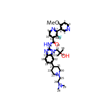 COc1ccncc1-c1nccc(C(=O)Nc2nc3ccc(C4CCN(CCN(C)C)CC4)cc3n2CC(C)(C)O)c1F